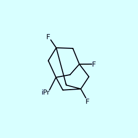 CC(C)C12CC3(F)CC(F)(CC(F)(C3)C1)C2